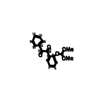 COC(OC)Oc1ccccc1C(=O)C(=O)c1ccccc1